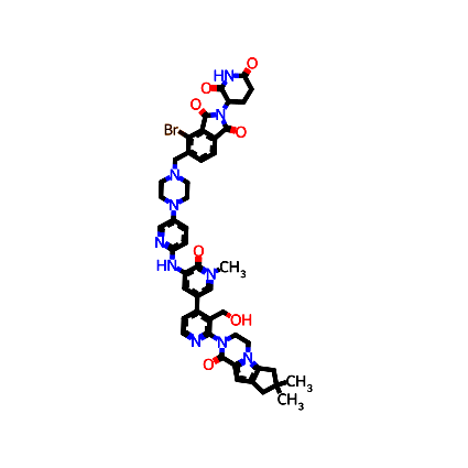 Cn1cc(-c2ccnc(N3CCn4c(cc5c4CC(C)(C)C5)C3=O)c2CO)cc(Nc2ccc(N3CCN(Cc4ccc5c(c4Br)C(=O)N(C4CCC(=O)NC4=O)C5=O)CC3)cn2)c1=O